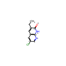 CCc1cc2cc(Cl)cnc2[nH]c1=O